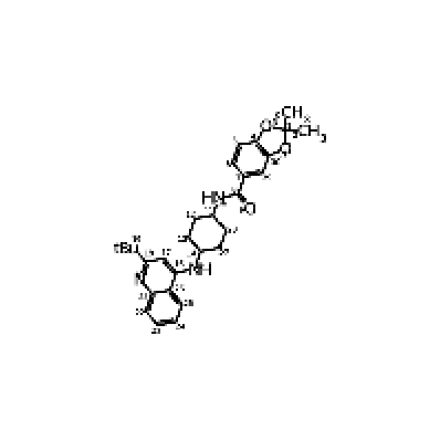 CC1(C)Oc2ccc(C(=O)NC3CCC(Nc4cc(C(C)(C)C)nc5ccccc45)CC3)cc2O1